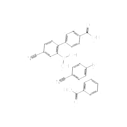 N#Cc1ccc(-c2ccc(C(=O)O)cc2)c(B(O)O)c1.N#Cc1ccc(Br)cc1.O=C(O)c1ccccc1